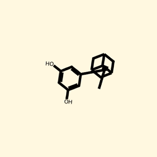 CC1C(c2cc(O)cc(O)c2)=C2C3CC2CC1C3